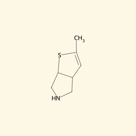 CC1=CC2CNCC2S1